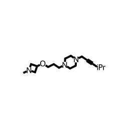 CC(C)C#CCN1CCN(CCCOC2CN(C)C2)CC1